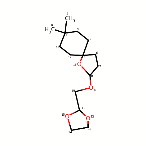 CC1(C)CCC2(CCC(OCC3OCCO3)O2)CC1